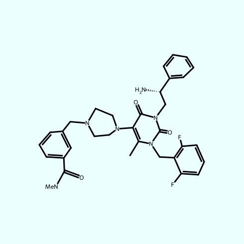 CNC(=O)c1cccc(CN2CCN(c3c(C)n(Cc4c(F)cccc4F)c(=O)n(C[C@H](N)c4ccccc4)c3=O)CC2)c1